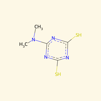 CN(C)c1nc(S)nc(S)n1